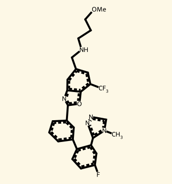 COCCCNCc1cc(C(F)(F)F)c2oc(-c3cccc(-c4ccc(F)cc4-c4nncn4C)c3)nc2c1